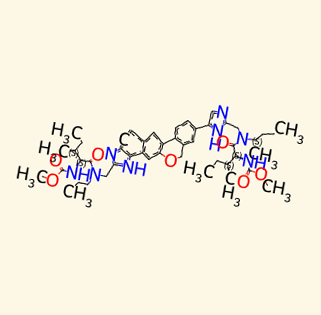 CCC[C@H](C)N(Cc1ncc(-c2ccc3c(c2)COc2cc4c(ccc5nc(CN(CCC)C(=O)[C@@H](NC(=O)OC)[C@@H](C)CC)[nH]c54)cc2-3)[nH]1)C(=O)[C@@H](NC(=O)OC)[C@@H](C)CC